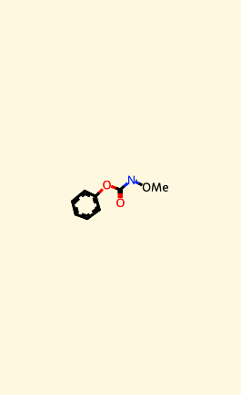 CO[N]C(=O)Oc1ccccc1